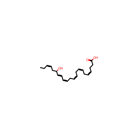 CC/C=C\C[C@@H](O)/C=C/C=C\C/C=C\C/C=C\C/C=C\CCC(=O)O